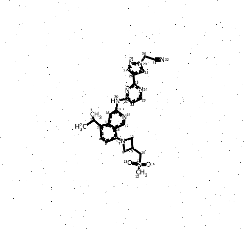 CC(C)c1ccc(N2CC(CS(C)(=O)=O)C2)c2cnc(Nc3ccnc(-c4cnn(CC#N)c4)n3)cc12